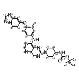 Cc1cc(Nc2ncnc3cnc(N4CCC(NC(=O)OC(C)(C)C)CC4)nc23)ccc1Oc1ccn2ncnc2c1